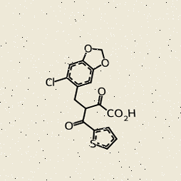 O=C(O)C(=O)C(Cc1cc2c(cc1Cl)OCO2)C(=O)c1cccs1